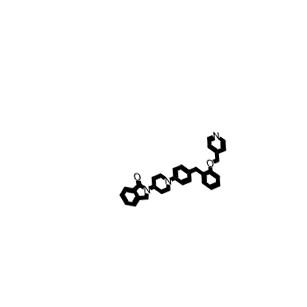 O=C1c2ccccc2CN1C1CCN(c2ccc(Cc3ccccc3OCc3ccncc3)cc2)CC1